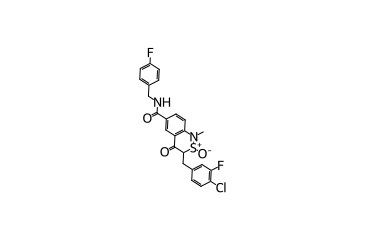 CN1c2ccc(C(=O)NCc3ccc(F)cc3)cc2C(=O)C(Cc2ccc(Cl)c(F)c2)[S+]1[O-]